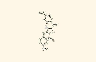 COc1ccc(OC)c(/C=C2\CCc3c2oc2ccc(C(=O)O)cc2c3=O)c1